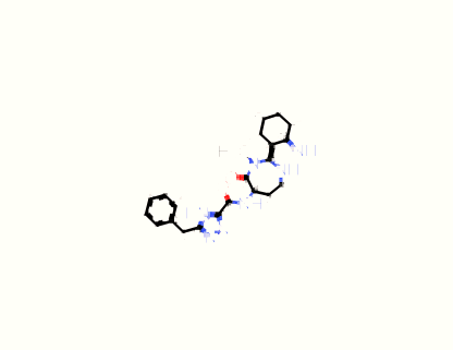 CN1C(=O)C(NC(=O)c2nnc(Cc3ccccc3)[nH]2)CCN/C1=C1/CCCCC1=N